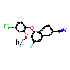 COc1cc(Cl)ccc1Oc1cc(F)cc2cc(C#N)ccc12